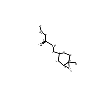 COCC(=O)OCC1CCC2(C)OC2C1